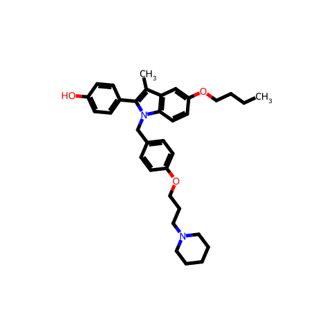 CCCCOc1ccc2c(c1)c(C)c(-c1ccc(O)cc1)n2Cc1ccc(OCCCN2CCCCC2)cc1